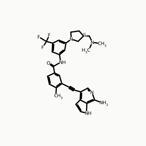 Cc1ccc(C(=O)Nc2cc(N3CC[C@@H](CN(C)C)C3)cc(C(F)(F)F)c2)cc1C#Cc1cnc(N)c2[nH]ccc12